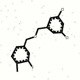 Cc1ccc(COCc2cc(Cl)cc(Cl)c2)cc1F